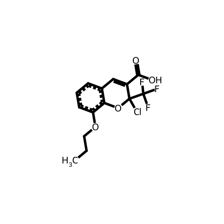 CCCOc1cccc2c1OC(Cl)(C(F)(F)F)C(C(=O)O)=C2